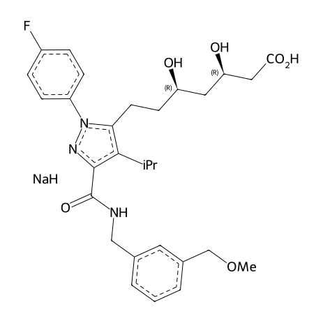 COCc1cccc(CNC(=O)c2nn(-c3ccc(F)cc3)c(CC[C@@H](O)C[C@@H](O)CC(=O)O)c2C(C)C)c1.[NaH]